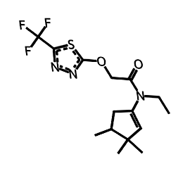 CCN(C(=O)COc1nnc(C(F)(F)F)s1)C1=CC(C)(C)C(C)C1